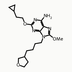 COc1nc2c(N)nc(OCCC3CC3)nc2n1CCCCC1CCOC1